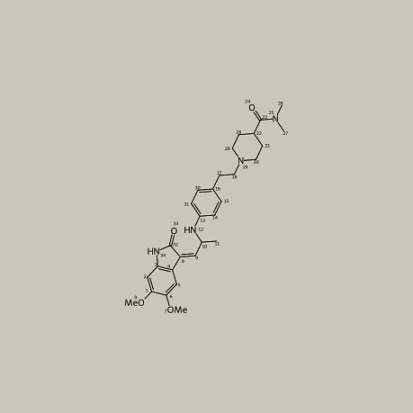 COc1cc2c(cc1OC)C(=CC(C)Nc1ccc(CCN3CCC(C(=O)N(C)C)CC3)cc1)C(=O)N2